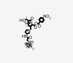 C[C@@H](O)C1C(=O)N2C(C(=O)OC(=O)c3ccc([N+](=O)[O-])cc3)=C(CN3CC[C@H](NC(=O)CNS(N)(=O)=O)C3)[C@H](C)[C@H]12